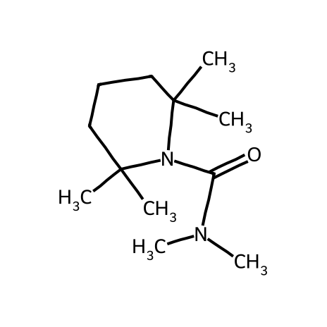 CN(C)C(=O)N1C(C)(C)CCCC1(C)C